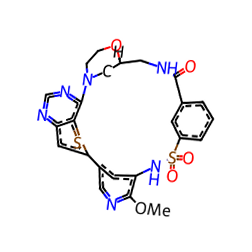 COc1ncc2cc1NS(=O)(=O)c1cccc(c1)C(=O)NC[C@H]1CN(CCO1)c1ncnc3cc-2sc13